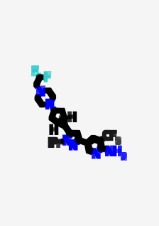 CC(C)n1nc(-c2cnc(N)c(C(F)(F)F)c2)cc1C1[C@H]2CC(N3CCN(CC(F)F)CC3)C[C@@H]12